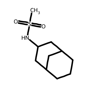 CS(=O)(=O)NC1CC2CCCC(C2)C1